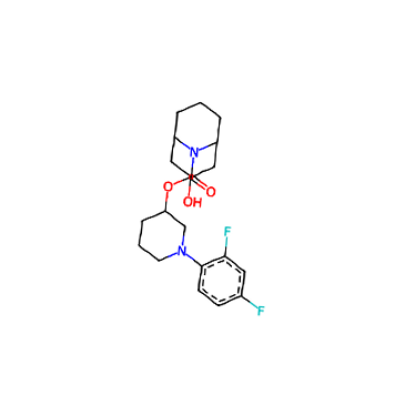 O=C(OC1CCCN(c2ccc(F)cc2F)C1)N1C2CCCC1CC(O)C2